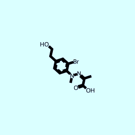 CC(=NN(C)c1ccc(CCO)cc1Br)C(=O)O